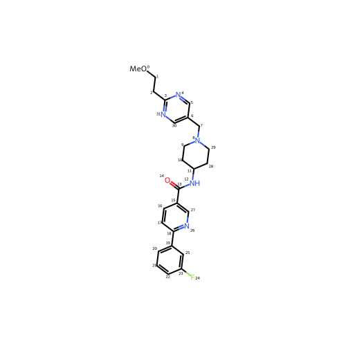 COCCc1ncc(CN2CCC(NC(=O)c3ccc(-c4cccc(F)c4)nc3)CC2)cn1